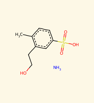 Cc1ccc(S(=O)(=O)O)cc1CCO.N